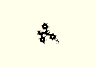 CCOc1ccc(-c2cc(-c3occc3-c3ccc(F)cc3)c(-c3ccccc3)o2)cc1